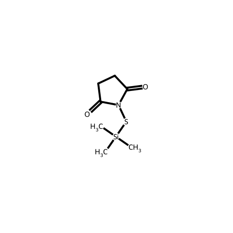 C[Si](C)(C)SN1C(=O)CCC1=O